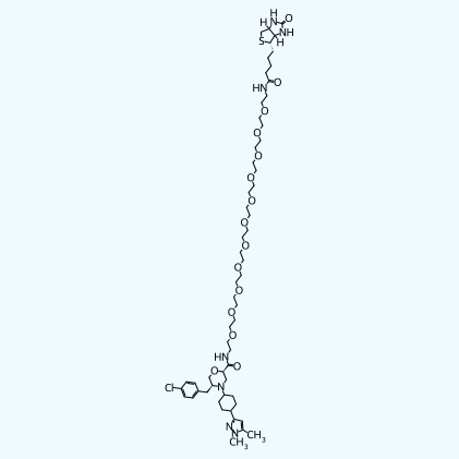 Cc1cc(C2CCC(N3C[C@H](C(=O)NCCOCCOCCOCCOCCOCCOCCOCCOCCOCCOCCOCCNC(=O)CCCC[C@@H]4SC[C@@H]5NC(=O)N[C@@H]54)OC[C@@H]3Cc3ccc(Cl)cc3)CC2)nn1C